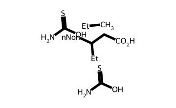 CCC.CCCCCCCCCC(CC)CC(=O)O.NC(O)=S.NC(O)=S